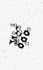 O=C(O)C[C@H]1O[C@H](c2cccc(Cl)c2)[C@@H](c2ccc(Cl)cc2)N([C@H](CN(c2ccccc2)S(=O)(=O)C2CC2)C2CC2)C1=O